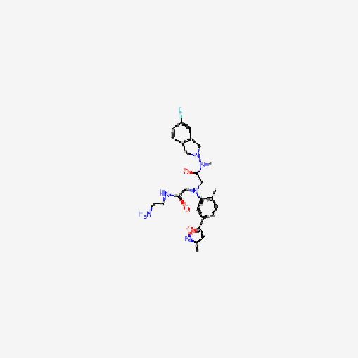 Cc1cc(-c2ccc(C)c(N(CC(=O)NCCN)CC(=O)N(C)N3CC4C=CC(F)=CC4C3)c2)on1